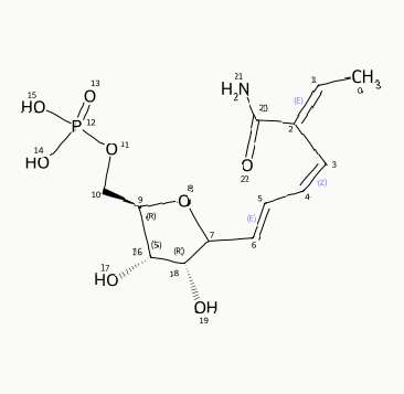 C\C=C(/C=C\C=C\C1O[C@H](COP(=O)(O)O)[C@@H](O)[C@H]1O)C(N)=O